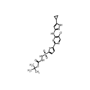 CC(C)(C)OC(=O)NNS(=O)(=O)c1ccc(-c2ncc(Cl)c(Nc3cc(C4CC4)[nH]n3)n2)s1